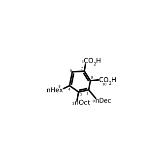 CCCCCCCCCCc1c(CCCCCCCC)c(CCCCCC)cc(C(=O)O)c1C(=O)O